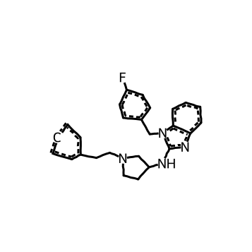 Fc1ccc(Cn2c(NC3CCN(CCc4ccccc4)C3)nc3ccccc32)cc1